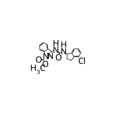 COC(=O)n1nc(NC(=O)NC2CCc3c(Cl)cccc32)c2ccccc21